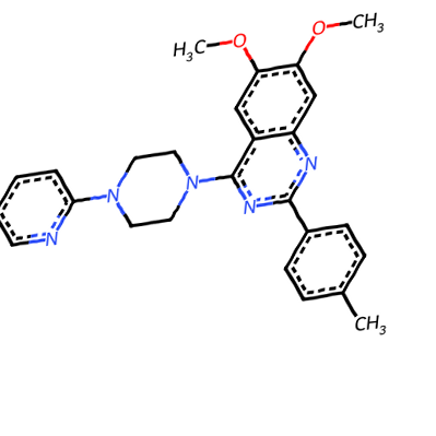 COc1cc2nc(-c3ccc(C)cc3)nc(N3CCN(c4ccccn4)CC3)c2cc1OC